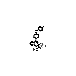 CC1(C(=O)O)Cn2cccc2C(N2CCC(Oc3ccc(F)cc3)CC2)=N1